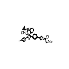 CNC(=O)N1CC(c2ccc(-c3sc(-c4ccc(F)cc4)nc3[C@@H]3CCCC[C@H]3C(=O)NC3(C#N)CC3)cc2)C1